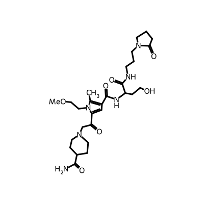 COCCn1c(C(=O)CN2CCC(C(N)=O)CC2)cc(C(=O)NC(CCO)C(=O)NCCCN2CCCC2=O)c1C